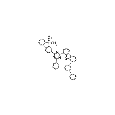 CC1(C)c2ccccc2-c2ccc(-c3nc(-c4ccccc4)nc(-c4cccc5c4sc4c(-c6cccc(-c7ccccc7)c6)cccc45)n3)cc21